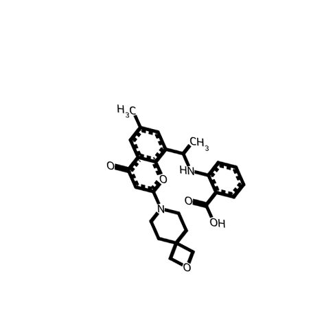 Cc1cc(C(C)Nc2ccccc2C(=O)O)c2oc(N3CCC4(CC3)COC4)cc(=O)c2c1